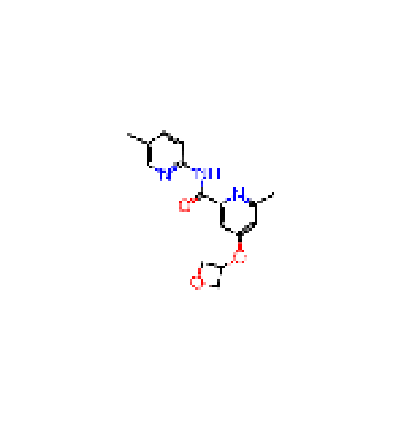 Cc1ccc(NC(=O)c2cc(OC3COC3)cc(C)n2)nc1